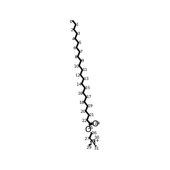 CCCCCCCCCCCCCCCCCCCCCCCC(=O)OCC[N+](C)(C)C